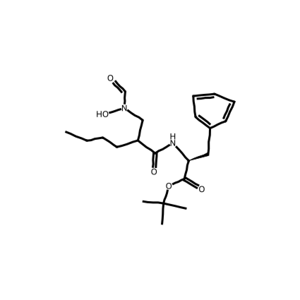 CCCCC(CN(O)C=O)C(=O)N[C@@H](Cc1ccccc1)C(=O)OC(C)(C)C